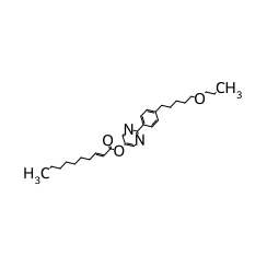 CCCCCCCC=CC(=O)Oc1cnc(-c2ccc(CCCCCOCCC)cc2)nc1